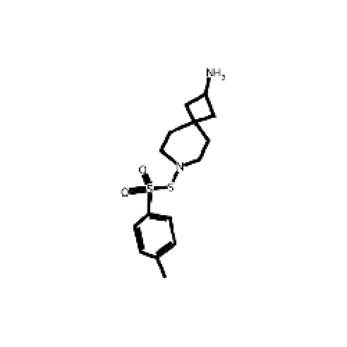 Cc1ccc(S(=O)(=O)SN2CCC3(CC2)CC(N)C3)cc1